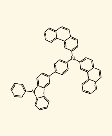 c1ccc(-n2c3ccccc3c3cc(-c4ccc(N(c5ccc6ccc7ccccc7c6c5)c5ccc6ccc7ccccc7c6c5)cc4)ccc32)cc1